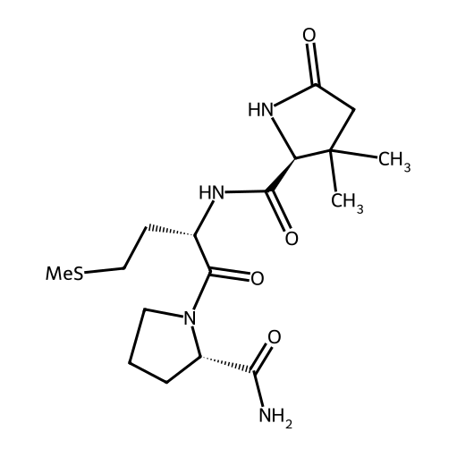 CSCC[C@H](NC(=O)[C@H]1NC(=O)CC1(C)C)C(=O)N1CCC[C@H]1C(N)=O